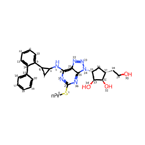 CCCSc1nc(NC2CC2c2ccccc2-c2ccccc2)c2nnn([C@@H]3C[C@H](CCO)[C@@H](O)[C@H]3O)c2n1